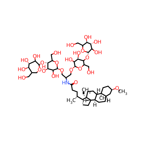 C=C[C@]12CC[C@H]3[C@@H](CC[C@@H]4C[C@H](OC)CC[C@@]43C)[C@@H]1CC[C@@H]2[C@H](C)CCC(=O)NC(CO[C@@H]1OC(CO)C(O[C@@H]2OC(CO)[C@@H](O)[C@H](O)C2O)[C@H](O)C1O)CO[C@@H]1OC(CO)[C@@H](O[C@H]2OCC(CO)[C@@H](O)[C@H](O)C2O)[C@H](O)C1O